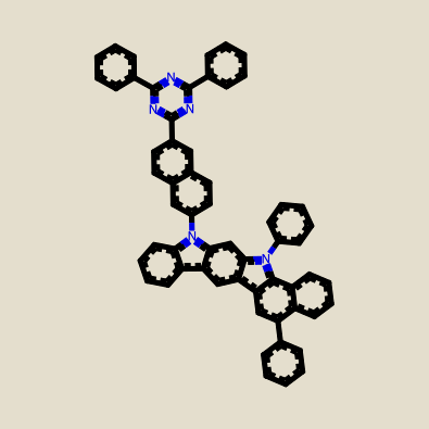 c1ccc(-c2nc(-c3ccccc3)nc(-c3ccc4cc(-n5c6ccccc6c6cc7c8cc(-c9ccccc9)c9ccccc9c8n(-c8ccccc8)c7cc65)ccc4c3)n2)cc1